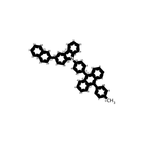 Cc1ccc(-c2c3ccccc3c(-c3ccc(-n4c5ccccc5c5cc(-c6ccc7ccccc7c6)ccc54)cc3)c3ccccc23)cc1